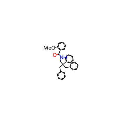 COc1ccccc1C(=O)NCC(Cc1ccccc1)(Cc1ccccc1)c1ccccc1